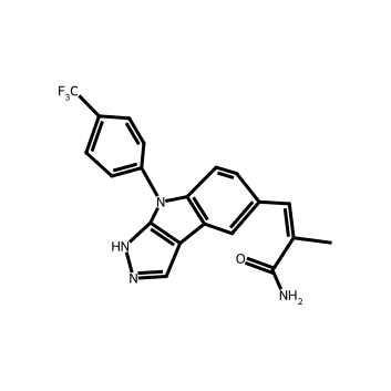 CC(=Cc1ccc2c(c1)c1cn[nH]c1n2-c1ccc(C(F)(F)F)cc1)C(N)=O